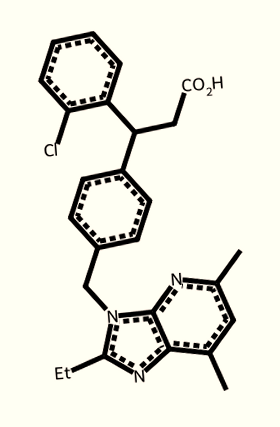 CCc1nc2c(C)cc(C)nc2n1Cc1ccc(C(CC(=O)O)c2ccccc2Cl)cc1